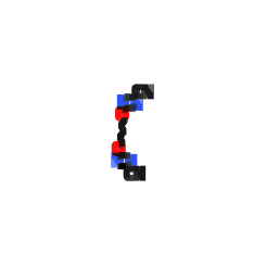 N#Cc1cnc(OCCCCCOc2cnc(C#N)cn2)cn1